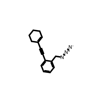 [N-]=[N+]=NCc1ccccc1C#CC1=CCCCC1